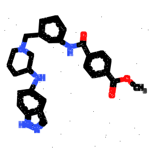 COC(=O)c1ccc(C(=O)Nc2cccc(CN3CCCC(Nc4ccc5[nH]ncc5c4)C3)c2)cc1